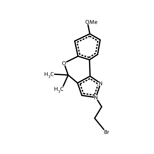 COc1ccc2c(c1)OC(C)(C)c1cn(CCBr)nc1-2